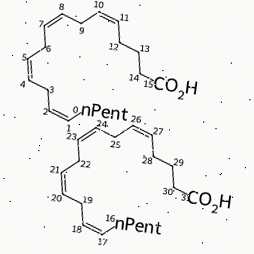 CCCCC/C=C\C/C=C\C/C=C\C/C=C\CCCC(=O)O.CCCCC/C=C\C/C=C\C/C=C\C/C=C\CCCC(=O)O